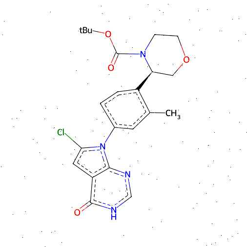 Cc1cc(-n2c(Cl)cc3c(=O)[nH]cnc32)ccc1[C@@H]1COCCN1C(=O)OC(C)(C)C